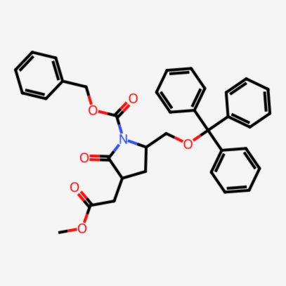 COC(=O)CC1CC(COC(c2ccccc2)(c2ccccc2)c2ccccc2)N(C(=O)OCc2ccccc2)C1=O